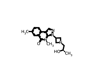 Cc1ccc2c(c1)c(=O)n(C)c1c2cnn1C1CN(C[C@@H](C)O)C1